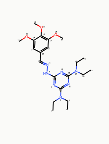 CCN(CC)c1nc(NN=Cc2cc(OC)c(OC)c(OC)c2)nc(N(CC)CC)n1